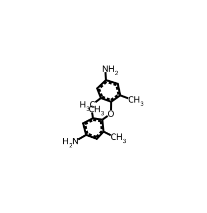 Cc1cc(N)cc(C)c1Oc1c(C)cc(N)cc1C